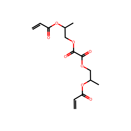 C=CC(=O)OC(C)COC(=O)C(=O)OCC(C)OC(=O)C=C